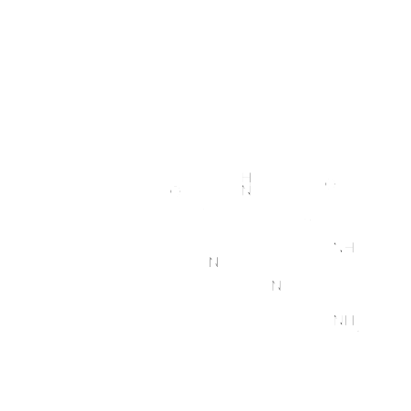 Nc1nc2nc(OCc3ccccc3)[nH]c2c(=O)[nH]1